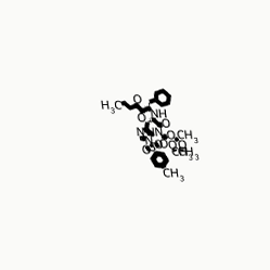 CCCC(=O)C(=O)[C@H](CC1CCCCC1)N[C@@H](Cc1cn(S(=O)(=O)c2ccc(C)cc2)cn1)C(=O)NC(=O)OC(C)(OC)OC